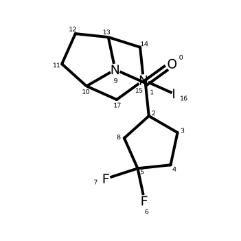 O=C(C1CCC(F)(F)C1)N1C2CCC1CN(I)C2